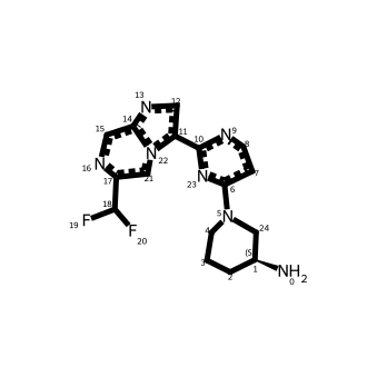 N[C@H]1CCCN(c2ccnc(-c3cnc4cnc(C(F)F)cn34)n2)C1